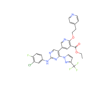 CCOC(=O)c1cc(-c2cnc(Nc3ccc(F)c(Cl)c3)nc2-n2ccc(C(F)(F)F)n2)cnc1OCCc1ccncc1